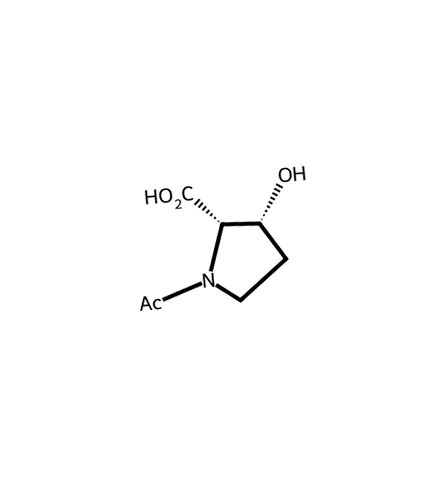 CC(=O)N1CC[C@@H](O)[C@H]1C(=O)O